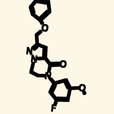 COc1cc(F)cc(N2CCn3nc(COc4ccccc4)cc3C2=O)c1